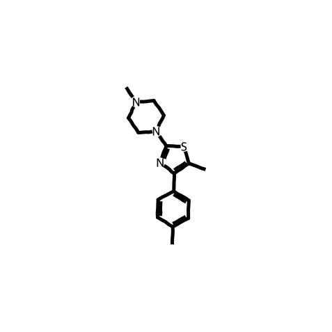 Cc1ccc(-c2nc(N3CCN(C)CC3)sc2C)cc1